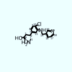 NC[C@H](CC(=O)O)c1ccc(Cl)c(NCc2cccnc2)c1